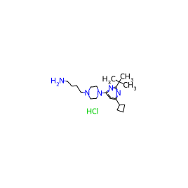 CC(C)(C)c1nc(C2CCC2)cc(N2CCN(CCCCN)CC2)n1.Cl